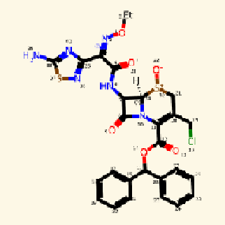 CCO/N=C(\C(=O)NC1C(=O)N2C(C(=O)OC(c3ccccc3)c3ccccc3)=C(CCl)C[S+]([O-])[C@H]12)c1nsc(N)n1